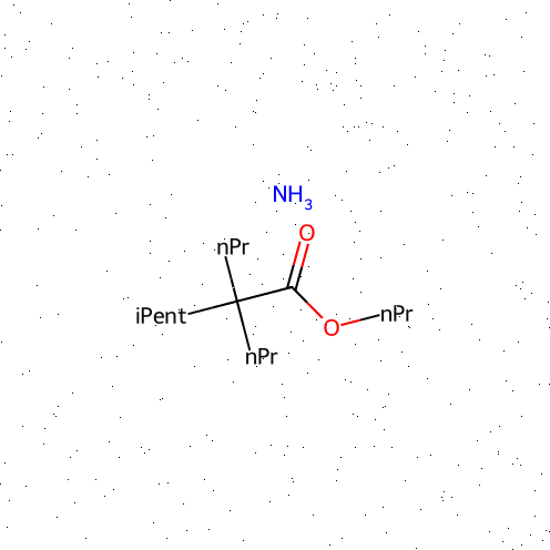 CCCOC(=O)C(CCC)(CCC)C(C)CCC.N